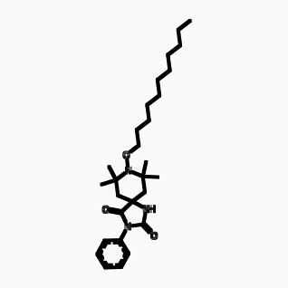 CCCCCCCCCCCON1C(C)(C)CC2(CC1(C)C)NC(=O)N(c1ccccc1)C2=O